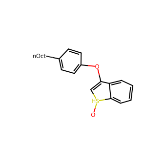 CCCCCCCCc1ccc(OC2=C[SH]([O])c3ccccc32)cc1